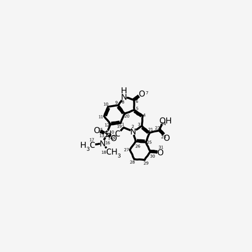 CCn1c(C=C2C(=O)Nc3ccc(S(=O)(=O)N(C)C)cc32)c(C(=O)O)c2c1CCCC2=O